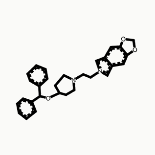 c1ccc(C(OC2CCN(CCn3cc4cc5c(cc4c3)OCO5)CC2)c2ccccc2)cc1